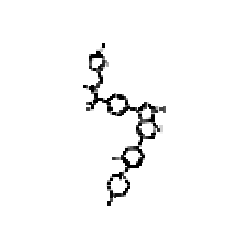 Cc1cc(-c2cnc3[nH]cc(-c4ccc(C(=O)N(C)Cc5ccn(C)n5)cc4)c3c2)ccc1N1CCN(C)CC1